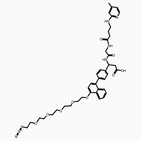 Cc1ccnc(NCCCC(=O)NCC(=O)NC(CC(=O)O)c2ccc(-c3ccc(OCCOCCOCCOCCOCCN=[N+]=[N-])c4ccccc34)cc2)c1